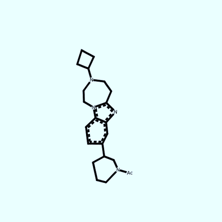 CC(=O)N1CCCC(c2ccc3c(c2)nc2n3CCN(C3CCC3)CC2)C1